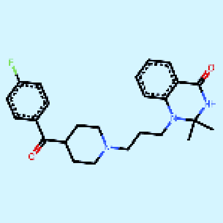 CC1(C)NC(=O)c2ccccc2N1CCCN1CCC(C(=O)c2ccc(F)cc2)CC1